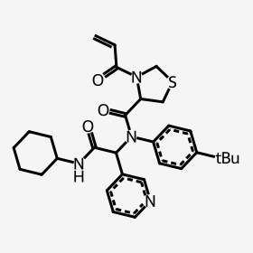 C=CC(=O)N1CSCC1C(=O)N(c1ccc(C(C)(C)C)cc1)C(C(=O)NC1CCCCC1)c1cccnc1